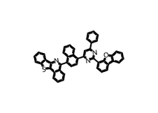 c1ccc(-c2cc(-c3ccc(-c4nc5c6ccccc6sc5c5ccccc45)c4ccccc34)nc(-c3cccc4c3oc3ccccc34)n2)cc1